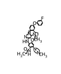 C=CC(=O)Nc1cc(Nc2cc(N3OCCC3c3cc(Oc4cccc(F)c4)ccc3F)ncn2)c(OC)cc1N1CCN(C)CC1